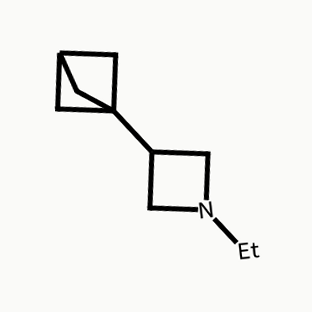 CCN1CC(C23CC(C2)C3)C1